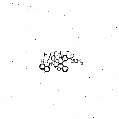 COC(=O)c1cc(C2=CC(CN(C(=O)OC(C)(C)C)[C@H](C)c3cccc4ccccc34)Oc3ccccc32)ccc1F